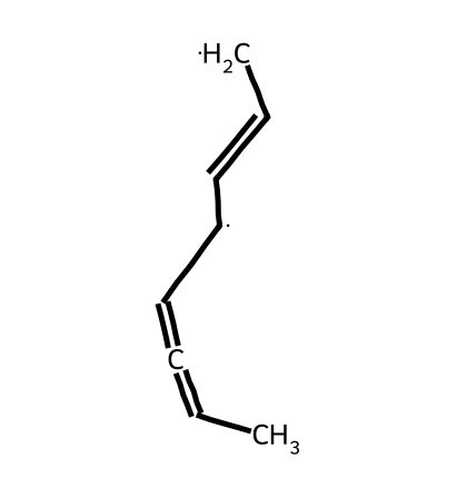 [CH2]C=C[CH]C=C=CC